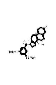 COc1cc(OC)cc(C(=O)[C@H]2CCC3[C@]4(N)CCC5C[C@@H](C)CC[C@]5(C)C4CC[C@@]32C)c1